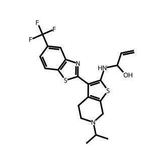 C=CC(O)Nc1sc2c(c1-c1nc3cc(C(F)(F)F)ccc3s1)CCN(C(C)C)C2